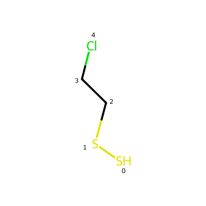 SSCCCl